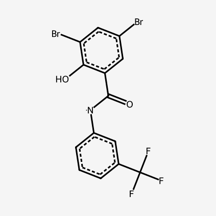 O=C([N]c1cccc(C(F)(F)F)c1)c1cc(Br)cc(Br)c1O